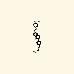 C=CCCc1ccc(-c2ccc3cc(CCC4CCC(CCCCCC)CC4)ccc3c2F)cc1